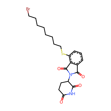 O=C1CCC(N2C(=O)c3cccc(SCCCCCCCCBr)c3C2=O)C(=O)N1